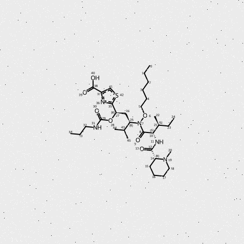 CCCCCCON(C(=O)[C@@H](NC(=O)[C@H]1CCCCN1C)[C@@H](C)CC)[C@H](C[C@@H](OC(=O)NCCC)c1nc(C(=O)O)cs1)C(C)C